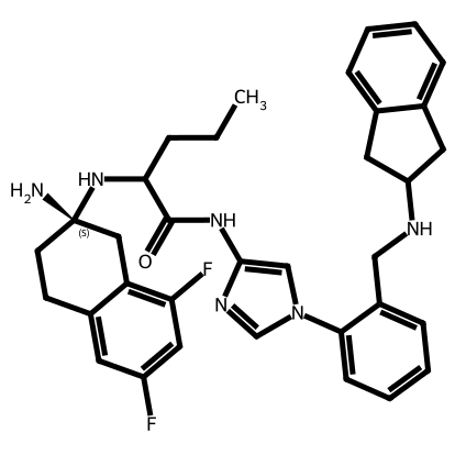 CCCC(N[C@@]1(N)CCc2cc(F)cc(F)c2C1)C(=O)Nc1cn(-c2ccccc2CNC2Cc3ccccc3C2)cn1